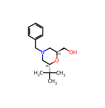 CC(C)(C)[C@@H]1CN(Cc2ccccc2)C[C@@H](CO)O1